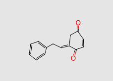 O=C1C=CC(=O)C(=CCc2ccccc2)C1